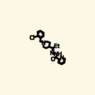 CC/C(=N\NC(=O)c1ccccn1)C1CCN(Cc2ccccc2Cl)CC1